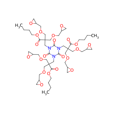 CCCCOC(=O)C(COCC1CO1)(COCC1CO1)Cn1c(=O)n(CC(COCC2CO2)(COCC2CO2)C(=O)OCCCC)c(=O)n(CC(COCC2CO2)(COCC2CO2)C(=O)OCCCC)c1=O